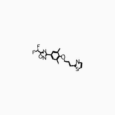 Cc1cc(-c2noc(C(F)F)n2)cc(C)c1OCCCc1nccs1